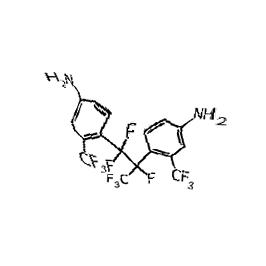 Nc1ccc(C(F)(F)C(F)(c2ccc(N)cc2C(F)(F)F)C(F)(F)F)c(C(F)(F)F)c1